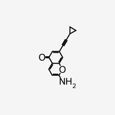 Nc1ccc2c(=O)cc(C#CC3CC3)cc-2o1